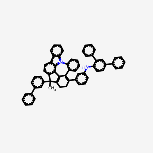 CC1(c2cccc(-c3ccccc3)c2)C2=C3C(=C(c4cccc(Nc5ccc(-c6ccccc6)cc5-c5ccccc5)c4)CC2)c2ccccc2-n2c4ccccc4c4ccc1c3c42